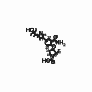 CC(C)(O)Cn1cc(-c2ccc(O[C@H]3CCN(C(=O)O)C[C@@H]3F)c(C(N)=O)c2)cn1